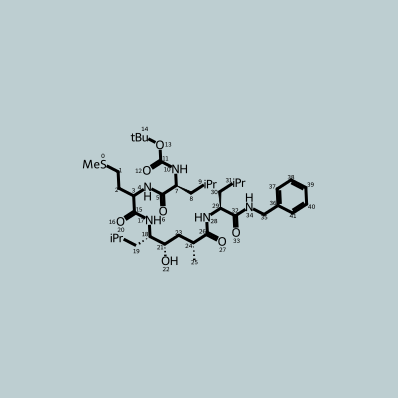 CSCCC(NC(=O)[C@H](CC(C)C)NC(=O)OC(C)(C)C)C(=O)N[C@@H](CC(C)C)[C@@H](O)C[C@@H](C)C(=O)N[C@@H](CC(C)C)C(=O)NCc1ccccc1